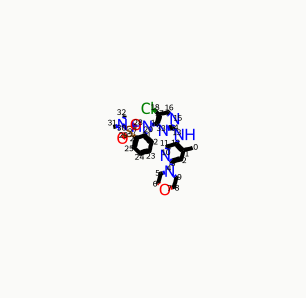 Cc1cc(N2CCOCC2)ncc1Nc1ncc(Cl)c(Nc2ccccc2S(=O)(=O)N(C)C)n1